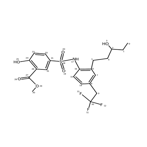 CCC(O)CCc1cc(CC(F)(F)F)ccc1NS(=O)(=O)c1ccc(O)c(C(=O)OC)c1